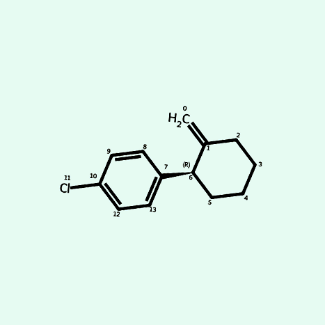 C=C1CCCC[C@H]1c1ccc(Cl)cc1